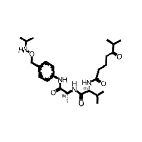 CC(C)NOCc1ccc(NC(=O)[C@@H](C)NC(=O)[C@H](NC(=O)CCCC(=O)C(C)C)C(C)C)cc1